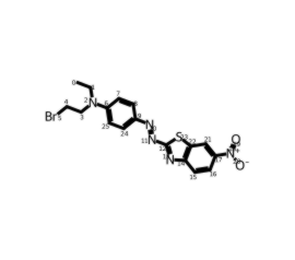 CCN(CCBr)c1ccc(N=Nc2nc3ccc([N+](=O)[O-])cc3s2)cc1